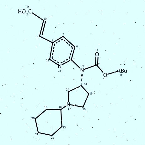 CC(C)(C)OC(=O)N(c1ccc(C=CC(=O)O)cn1)[C@@H]1CCN(C2CCCCC2)C1